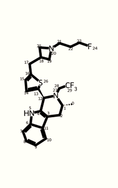 C[C@@H]1Cc2c([nH]c3ccccc23)[C@@H](c2ccc(CC3CN(CCCF)C3)s2)N1CC(F)(F)F